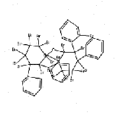 Brc1ccccc1C1(Br)C(Br)(OC2(Br)C(Br)(Br)C(Br)(Br)C(Br)(Br)C(Br)(c3ccccc3)C2(Br)c2ccccc2Br)C(Br)(Br)C(Br)(Br)C(Br)(Br)C1(Br)c1ccccc1